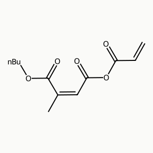 C=CC(=O)OC(=O)/C=C(/C)C(=O)OCCCC